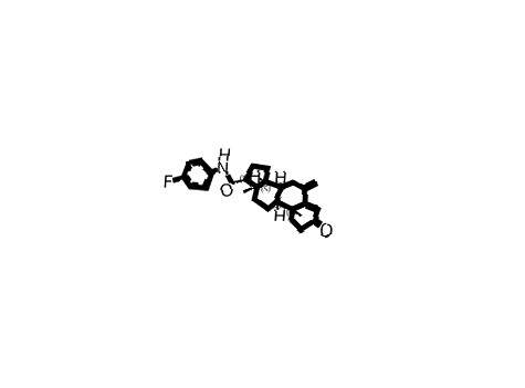 C=C1C[C@H]2[C@@H]3CC[C@H](C(=O)Nc4ccc(F)cc4)[C@@]3(C)CC[C@@H]2[C@@]2(C)CCC(=O)C=C12